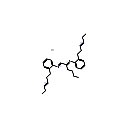 CC/C=C/CCc1ccccc1/N=C/C(CCCC)=N/c1ccccc1CC/C=C/CC.[Ni]